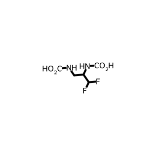 O=C(O)NCC(NC(=O)O)C(F)F